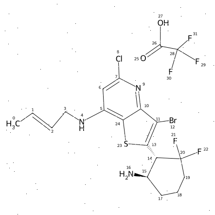 C/C=C/CNc1cc(Cl)nc2c(Br)c([C@H]3[C@H](N)CCCC3(F)F)sc12.O=C(O)C(F)(F)F